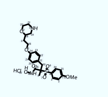 COc1ccc(S(=O)(=O)C(C)(Cc2ccc(OCCC3CNCCO3)cc2)C(=O)NO)cc1.Cl